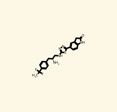 CC(F)(F)c1ccc(C[C@@H](N)CNc2nnc(-c3ccc4c(c3)CC(=O)N4)s2)cc1